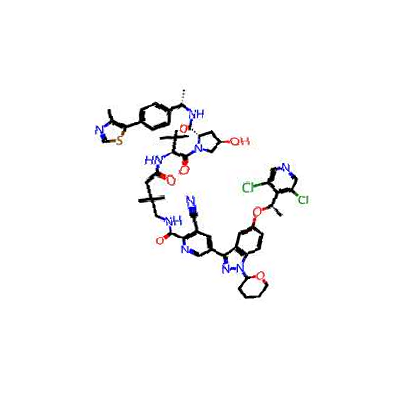 Cc1ncsc1-c1ccc([C@H](C)NC(=O)[C@@H]2C[C@@H](O)CN2C(=O)[C@@H](NC(=O)CC(C)(C)CNC(=O)c2ncc(-c3nn(C4CCCCO4)c4ccc(O[C@H](C)c5c(Cl)cncc5Cl)cc34)cc2C#N)C(C)(C)C)cc1